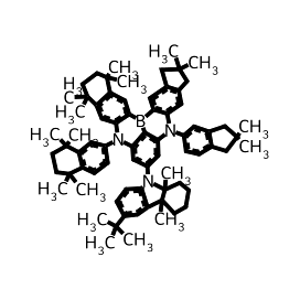 CC1(C)Cc2ccc(N3c4cc5c(cc4B4c6cc7c(cc6N(c6ccc8c(c6)C(C)(C)CCC8(C)C)c6cc(N8c9ccc(C(C)(C)C)cc9C9(C)CCCCC89C)cc3c64)C(C)(C)CCC7(C)C)CC(C)(C)C5)cc2C1